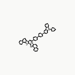 c1ccc(-n2c3ccccc3c3cc(-c4ccc(-c5ccc(-c6cc7c8ccc9ccccc9c8sc7c7nc8c9ccccc9ccc8n67)cc5)cc4)ccc32)cc1